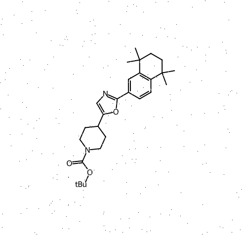 CC(C)(C)OC(=O)N1CCC(c2cnc(-c3ccc4c(c3)C(C)(C)CCC4(C)C)o2)CC1